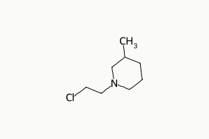 CC1CCCN(CCCl)C1